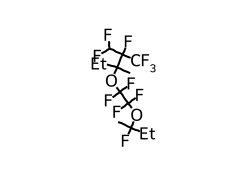 CCC(C)(F)OC(F)(F)C(F)(F)OC(C)(CC)C(F)(C(F)F)C(F)(F)F